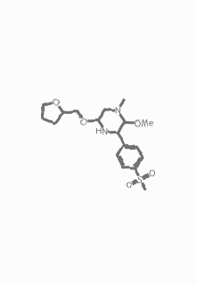 COC1C(c2ccc(S(C)(=O)=O)cc2)NC(OCC2CCCO2)CN1C